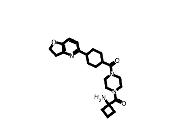 NC1(C(=O)N2CCN(C(=O)C3CCC(c4ccc5c(n4)CCO5)CC3)CC2)CCC1